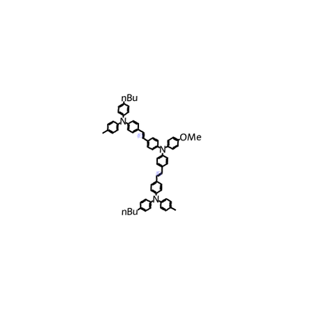 CCCCc1ccc(N(c2ccc(C)cc2)c2ccc(/C=C/c3ccc(N(c4ccc(/C=C/c5ccc(N(c6ccc(C)cc6)c6ccc(CCCC)cc6)cc5)cc4)c4ccc(OC)cc4)cc3)cc2)cc1